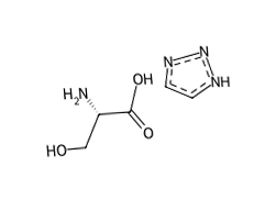 N[C@@H](CO)C(=O)O.c1c[nH]nn1